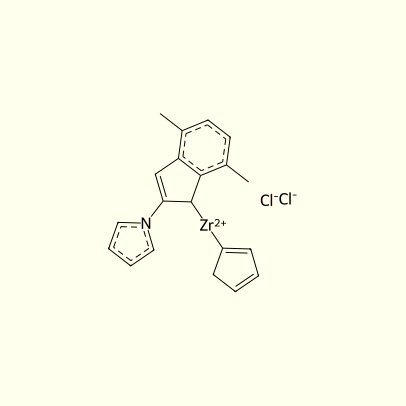 Cc1ccc(C)c2c1C=C(n1cccc1)[CH]2[Zr+2][C]1=CC=CC1.[Cl-].[Cl-]